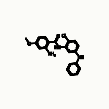 COc1ccc(C(=O)Nc2cc(Nc3ccccc3)ccc2Cl)c(N)c1